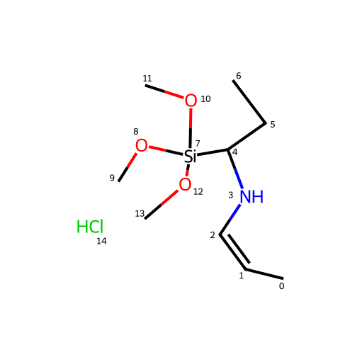 C/C=C\NC(CC)[Si](OC)(OC)OC.Cl